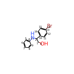 OCC(Nc1ccccc1)c1ccc(Br)cc1